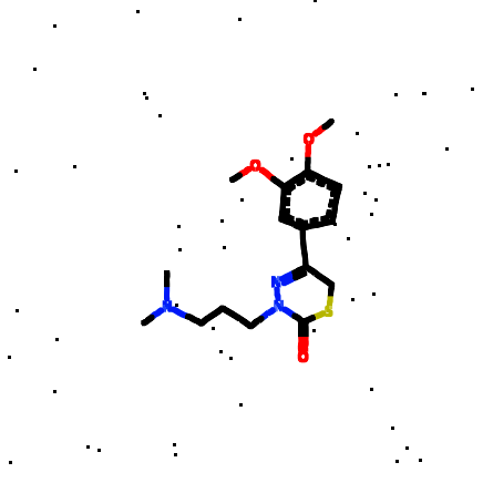 COc1ccc(C2=NN(CCCN(C)C)C(=O)SC2)cc1OC